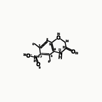 Cc1cc2c(c(C)c1[N+](=O)[O-])NC(=O)CO2